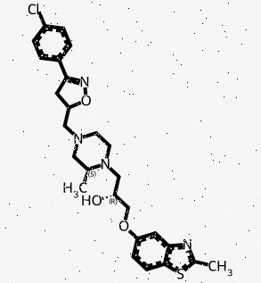 Cc1nc2cc(OC[C@H](O)CN3CCN(CC4CC(c5ccc(Cl)cc5)=NO4)C[C@@H]3C)ccc2s1